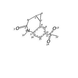 CN1C(=O)CC2CC2c2cc(S(C)(=O)=O)ccc21